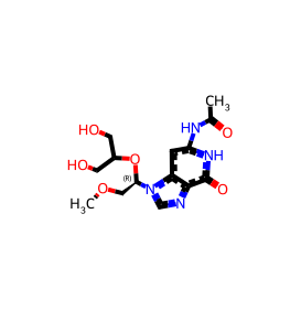 COC[C@@H](OC(CO)CO)n1cnc2c(=O)[nH]c(NC(C)=O)cc21